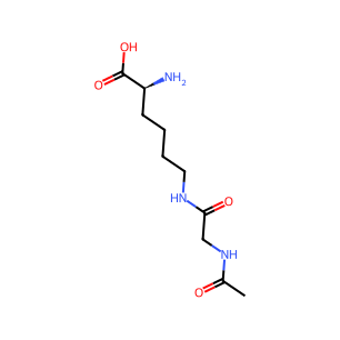 CC(=O)NCC(=O)NCCCC[C@H](N)C(=O)O